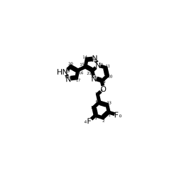 Fc1cc(F)cc(COc2ccn3ncc(-c4cn[nH]c4)c3n2)c1